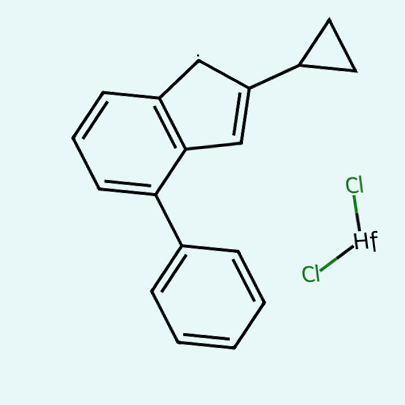 [CH]1C(C2CC2)=Cc2c1cccc2-c1ccccc1.[Cl][Hf][Cl]